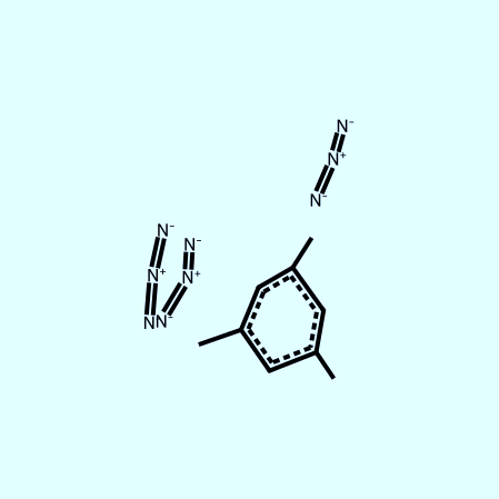 Cc1cc(C)cc(C)c1.[N-]=[N+]=[N-].[N-]=[N+]=[N-].[N-]=[N+]=[N-]